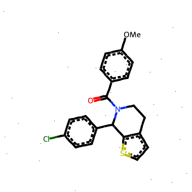 COc1ccc(C(=O)N2CCc3ccsc3C2c2ccc(Cl)cc2)cc1